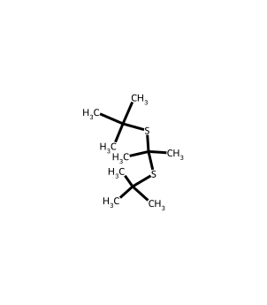 CC(C)(C)SC(C)(C)SC(C)(C)C